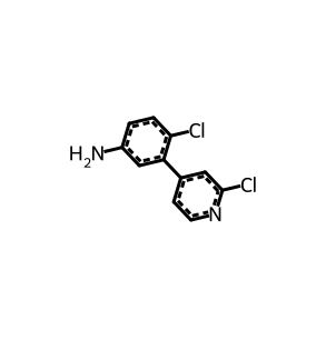 Nc1ccc(Cl)c(-c2ccnc(Cl)c2)c1